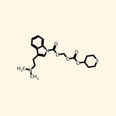 CN(C)CCc1cn(C(=O)OCOC(=O)OC2CCSCC2)c2ccccc12